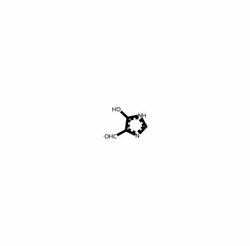 O=[C]c1nc[nH]c1O